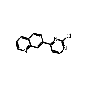 Clc1nccc(-c2ccc3cccnc3c2)n1